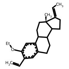 C=Cc1cc2c(cc1OCC)C1CC[C@]3(C)C(=CC)CCC3C1CC2